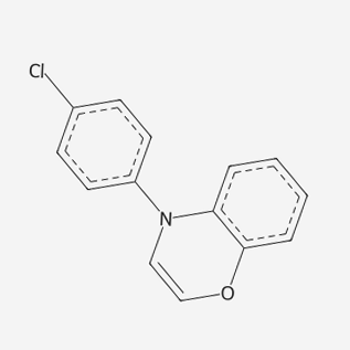 Clc1ccc(N2C=COc3ccccc32)cc1